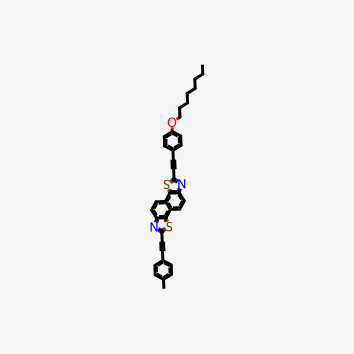 CCCCCCCCOc1ccc(C#Cc2nc3ccc4c(ccc5nc(C#Cc6ccc(C)cc6)sc54)c3s2)cc1